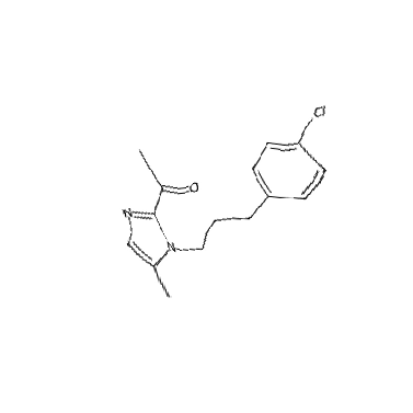 CC(=O)c1ncc(C)n1CCCc1ccc(Cl)cc1